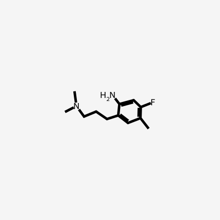 Cc1cc(CCCN(C)C)c(N)cc1F